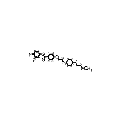 CCCCC[C@H]1CC[C@H](/C=C/COc2ccc(C(=O)Oc3ccc(F)c(F)c3)cc2)CC1